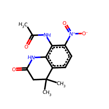 CC(=O)Nc1c([N+](=O)[O-])ccc2c1NC(=O)CC2(C)C